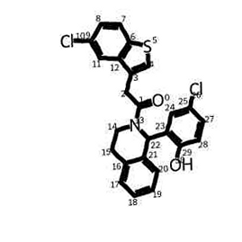 O=C(Cc1csc2ccc(Cl)cc12)N1CCc2ccccc2C1c1cc(Cl)ccc1O